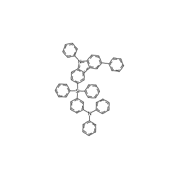 c1ccc(-c2ccc3c(c2)c2cc([Si](c4ccccc4)(c4ccccc4)c4cccc(N(c5ccccc5)c5ccccc5)c4)ccc2n3-c2ccccc2)cc1